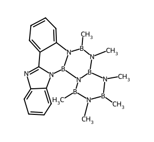 CB1N(C)B(C)N2B(N1C)N(C)B(C)N1B2n2c(nc3ccccc32)-c2ccccc21